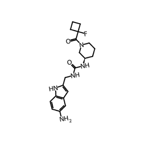 Nc1ccc2[nH]c(CNC(=O)N[C@@H]3CCCN(C(=O)C4(F)CCC4)C3)cc2c1